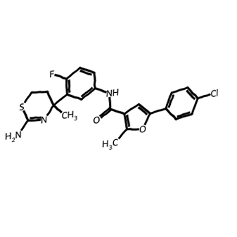 Cc1oc(-c2ccc(Cl)cc2)cc1C(=O)Nc1ccc(F)c(C2(C)CCSC(N)=N2)c1